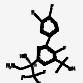 CC(C)(O)c1cc([C@](O)(CN)C(F)(F)F)nc(-c2ccc(F)c(F)c2)c1F